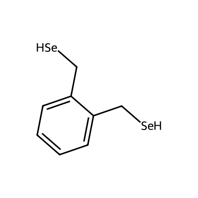 [SeH]Cc1ccccc1C[SeH]